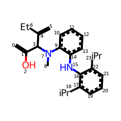 C=C(O)C(C(=C)CC)N(C)c1ccccc1Nc1c(C(C)C)cccc1C(C)C